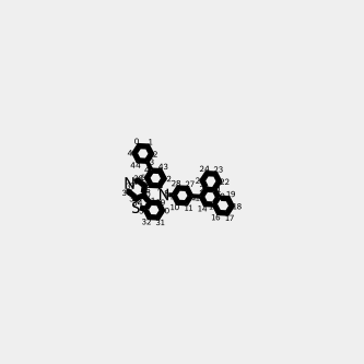 c1ccc(-c2ccc(N(c3ccc(-c4cc5ccccc5c5ccccc45)cc3)c3cccc4sc5cnccc5c34)cc2)cc1